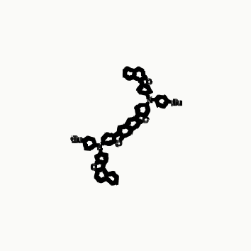 CC(C)(C)c1ccc(N(c2ccc3c(c2)oc2cc4cc5oc6cc(N(c7ccc(C(C)(C)C)cc7)c7ccc8c(c7)oc7ccc9ccccc9c78)ccc6c5cc4cc23)c2ccc3c(c2)oc2ccc4ccccc4c23)cc1